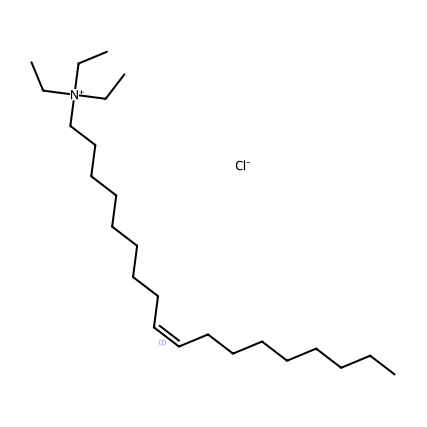 CCCCCCCC/C=C\CCCCCCCC[N+](CC)(CC)CC.[Cl-]